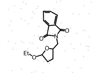 CCOC1CCC(CN2C(=O)c3ccccc3C2=O)O1